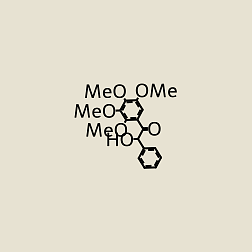 COc1cc(C(=O)C(O)c2ccccc2)c(OC)c(OC)c1OC